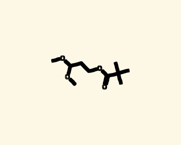 COC(CCOC(=O)C(C)(C)C)OC